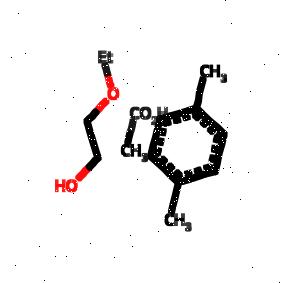 CC(=O)O.CCOCCO.Cc1ccc(C)cc1